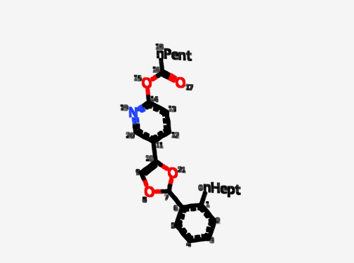 CCCCCCCc1ccccc1C1OC=C(c2ccc(OC(=O)CCCCC)nc2)O1